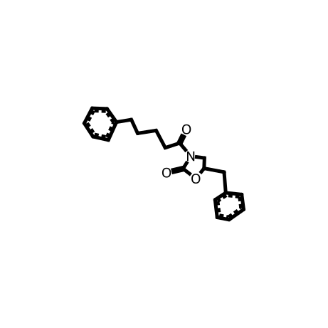 O=C(CCCCc1ccccc1)N1CC(Cc2ccccc2)OC1=O